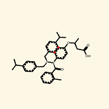 Cc1ccccc1C(=O)N(c1ccc(OC(C)CC(=O)O)cc1)N(Cc1ccc(C(C)C)cc1)Cc1ccc(C(C)C)cc1